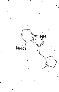 COc1cccc2[nH]cc(CC3CCCN3C)c12